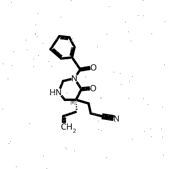 C=CC[C@]1(CCC#N)CNCN(C(=O)c2ccccc2)C1=O